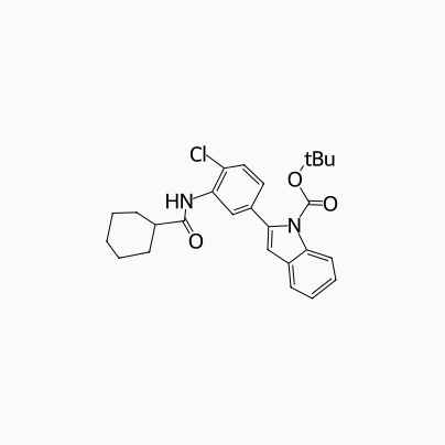 CC(C)(C)OC(=O)n1c(-c2ccc(Cl)c(NC(=O)C3CCCCC3)c2)cc2ccccc21